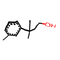 Cc1cccc(C(C)(C)CCO)c1